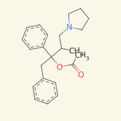 CC(=O)OC(Cc1ccccc1)(c1ccccc1)C(C)CN1CCCC1